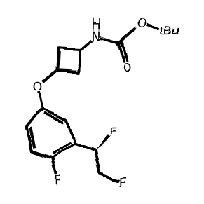 CC(C)(C)OC(=O)NC1CC(Oc2ccc(F)c([C@@H](F)CF)c2)C1